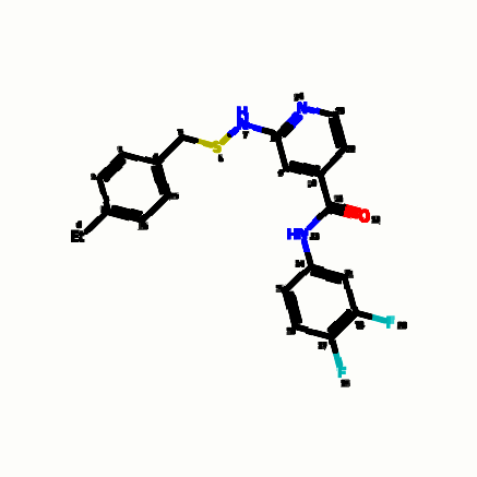 CCc1ccc(CSNc2cc(C(=O)Nc3ccc(F)c(F)c3)ccn2)cc1